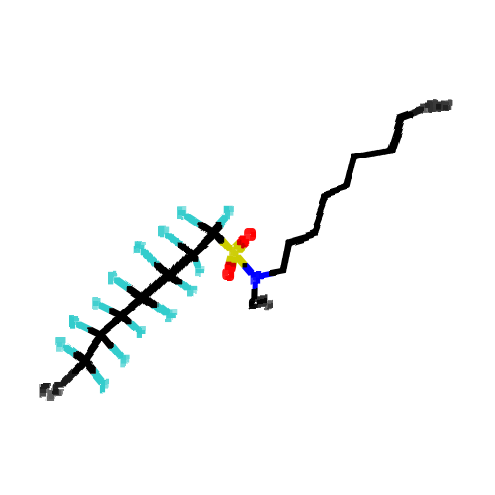 CCCCCCCCCCCCCCCCCCN(C)S(=O)(=O)C(F)(F)C(F)(F)C(F)(F)C(F)(F)C(F)(F)C(F)(F)C(F)(F)C(F)(F)F